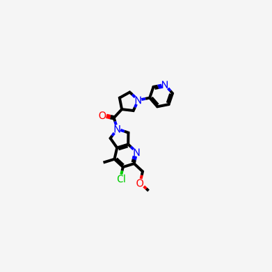 COCc1nc2c(c(C)c1Cl)CN(C(=O)C1CCN(c3cccnc3)C1)C2